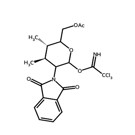 CC(=O)OCC1OC(OC(=N)C(Cl)(Cl)Cl)C(N2C(=O)c3ccccc3C2=O)[C@@H](C)[C@@H]1C